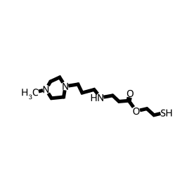 CN1CCN(CCCNCCC(=O)OCCS)CC1